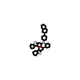 c1ccc(N(c2ccc(-c3ccc4ccccc4c3)cc2)c2ccc3c(c2)oc2ccccc23)c(-c2ccc3c(c2)oc2ccccc23)c1